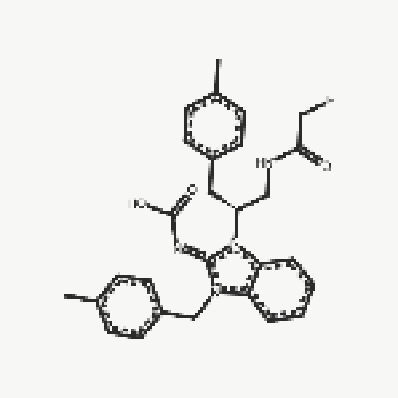 Cc1ccc(C[C@@H](CNC(=O)CF)n2c(=NC(=O)O)n(Cc3ccc(C)cc3)c3ccccc32)cc1